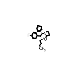 O=C1CCCN1[C@@H](c1ccccc1)[C@H](OCCCC(F)(F)F)c1ccc(F)cc1